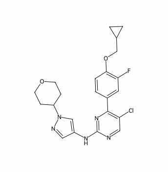 Fc1cc(-c2nc(Nc3cnn(C4CCOCC4)c3)ncc2Cl)ccc1OCC1CC1